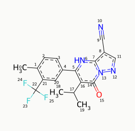 Cc1ccc(-c2[nH]c3c(C#N)cnn3c(=O)c2C(C)C)cc1C(F)(F)F